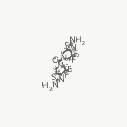 Nc1nc2c(s1)CN(C(=O)N1Cc3sc(N)nc3C(F)(F)C1)CC2(F)F